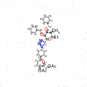 CC[C@H]1O[C@H](c2cn(-c3ccc([C@@H]4C=C[C@H](OC(C)=O)[C@@H](COC(C)=O)O4)cc3)nn2)[C@@H](OCc2ccccc2)[C@@H](OCc2ccccc2)[C@@H]1C